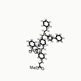 COC(=O)CCc1ccc(N(Cc2ccc(CN(CCc3ccccc3)c3nc(-c4ccccc4)cs3)cc2)S(=O)(=O)c2ccccc2[N+](=O)O)cc1